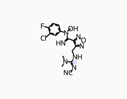 CN(C)/C(=N\C#N)NCc1nonc1C(=N)N(O)c1ccc(F)c(Cl)c1